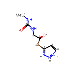 CSNC(=O)NCC(=O)Sc1ccnnn1